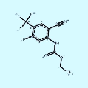 CCOC(=O)Nc1cc(F)c(C(F)(F)F)cc1C#N